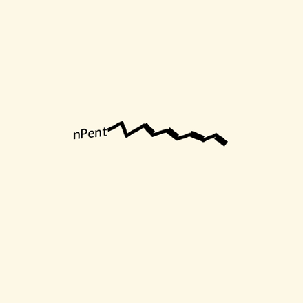 C=CC=CC=CC=CCCCCCCC